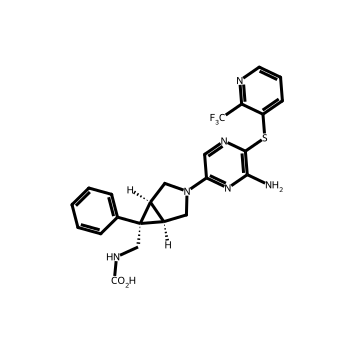 Nc1nc(N2C[C@@H]3[C@H](C2)[C@]3(CNC(=O)O)c2ccccc2)cnc1Sc1cccnc1C(F)(F)F